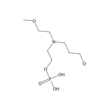 COCCN(CCC[O])CCOP(=O)(O)O